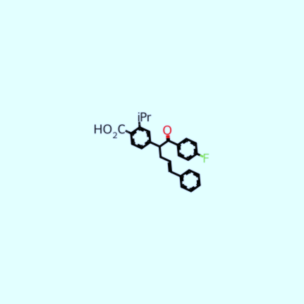 CC(C)c1cc(C(CC=Cc2ccccc2)C(=O)c2ccc(F)cc2)ccc1C(=O)O